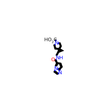 O=C(NCC1CC12CCN(C(=O)O)CC2)c1ccc2nccn2c1